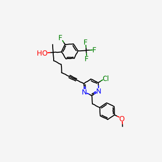 COc1ccc(Cc2nc(Cl)cc(C#CCCCC(C)(O)c3ccc(C(F)(F)F)cc3F)n2)cc1